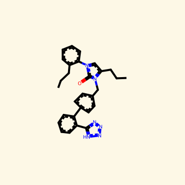 CCCc1ccccc1-n1cc(CCC)n(Cc2ccc(-c3ccccc3-c3nnn[nH]3)cc2)c1=O